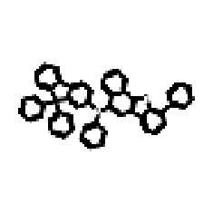 c1ccc(-c2cccc3c2oc2c4ccccc4c(N(c4ccccc4)c4ccc5c(c4)C(c4ccccc4)(c4ccccc4)c4ccccc4-5)cc32)cc1